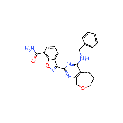 NC(=O)c1cccc2c(-c3nc4c(c(NCc5ccccc5)n3)CCCOC4)noc12